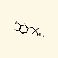 CC(C)(N)Cc1ccc(F)c(Br)n1